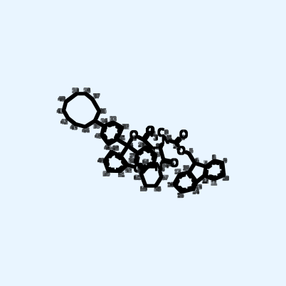 CN(C(=O)OCC1c2ccccc2-c2ccccc21)[C@@H](CC(=O)OC(c1ccccc1)(c1ccc(C2CCCCCCCCC2)cc1)c1ccccc1Cl)C(=O)N1CCCCC1